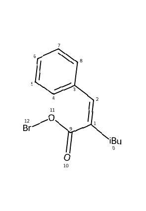 CCC(C)C(=Cc1ccccc1)C(=O)OBr